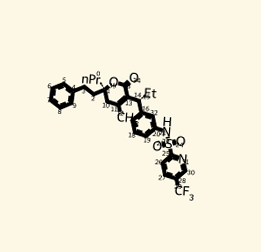 CCC[C@@]1(CCc2ccccc2)CC(C)=C([C@H](CC)c2cccc(NS(=O)(=O)c3ccc(C(F)(F)F)cn3)c2)C(=O)O1